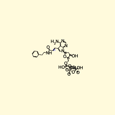 Nc1ncnc2c1c(/C=C/C(=O)NCCc1ccccc1)cn2[C@H]1C[C@@H](O)[C@@H](COP(=O)(O)OP(=O)(O)OP(=O)(O)O)O1